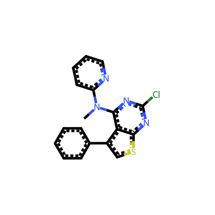 CN(c1ccccn1)c1nc(Cl)nc2scc(-c3ccccc3)c12